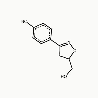 N#Cc1ccc(C2=NOC(CO)C2)cc1